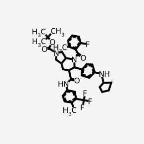 Cc1ccc(NC(=O)C2CC3CN(C(=O)OC(C)(C)C)CC3N(C(=O)c3c(C)cccc3F)C2c2ccc(NC3CCCC3)cc2)cc1C(F)(F)F